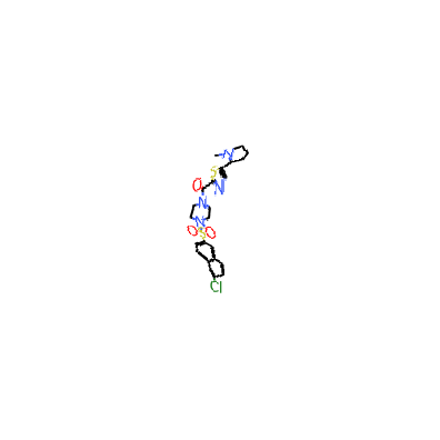 CN1CCCCC1c1cnc(C(=O)N2CCN(S(=O)(=O)c3ccc4cc(Cl)ccc4c3)CC2)s1